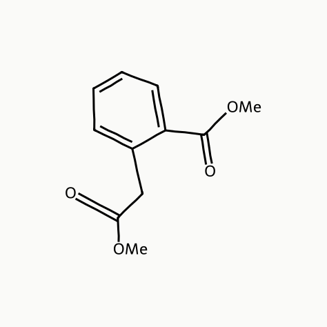 COC(=O)Cc1ccccc1C(=O)OC